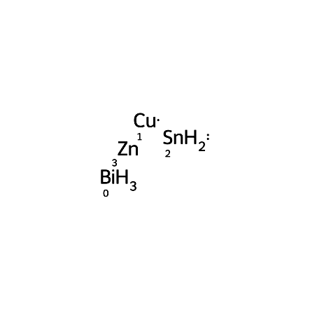 [BiH3].[Cu].[SnH2].[Zn]